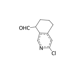 O=CC1CCCc2cc(Cl)ncc21